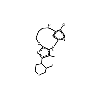 Cc1c2c(nn1C1CCOCC1F)OCCCNc1nc(ncc1Cl)N2